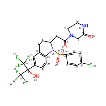 O=C1CN(C(=O)CC2CCc3cc(C(O)(C(F)(F)F)C(F)(F)F)ccc3N2S(=O)(=O)c2ccc(F)cc2)CCN1